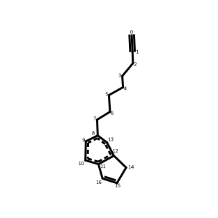 C#CCCCCCCc1ccc2c(c1)CC=C2